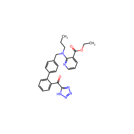 CCCN(Cc1ccc(-c2ccccc2C(=O)c2nnn[nH]2)cc1)c1ncccc1C(=O)OCC